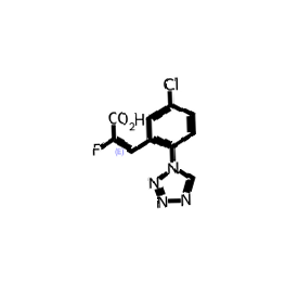 O=C(O)/C(F)=C\c1cc(Cl)ccc1-n1cnnn1